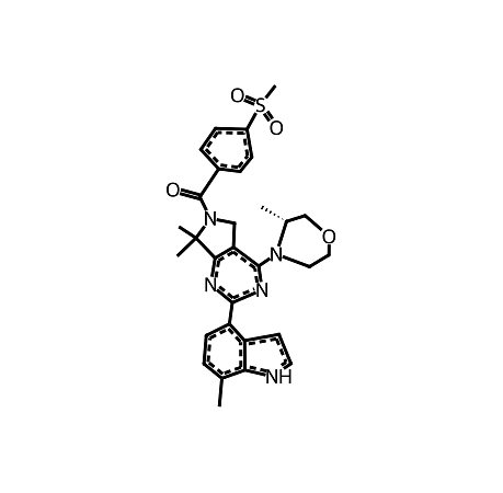 Cc1ccc(-c2nc(N3CCOC[C@H]3C)c3c(n2)C(C)(C)N(C(=O)c2ccc(S(C)(=O)=O)cc2)C3)c2cc[nH]c12